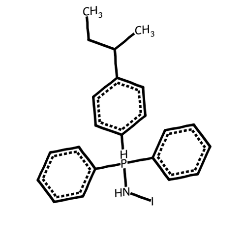 CCC(C)c1ccc([PH](NI)(c2ccccc2)c2ccccc2)cc1